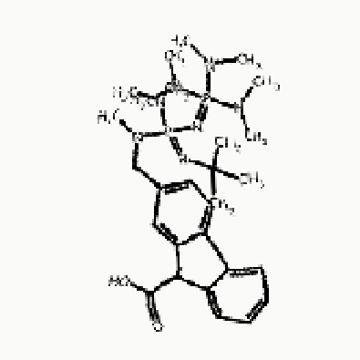 CN(C)P(=NC(C)(C)C)(N=P(N(C)C)(N(C)C)N(C)C)N(C)Cc1ccc2c(c1)C(C(=O)O)c1ccccc1-2